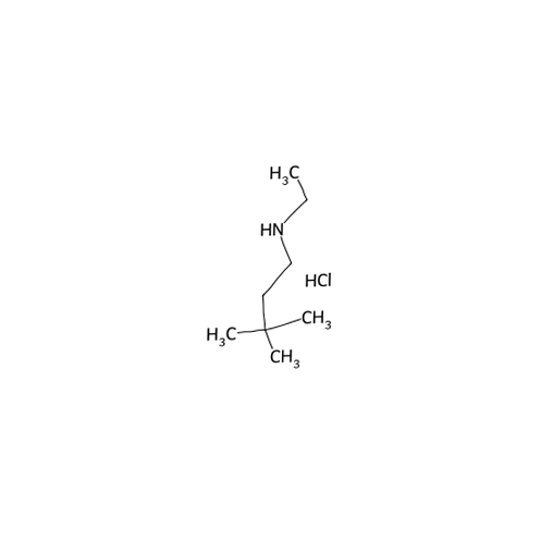 CCNCCC(C)(C)C.Cl